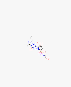 CCCc1nc(CC)c2c(=O)[nH]c(-c3cc(S(=O)(=O)NCCOC)ccc3O)nn12